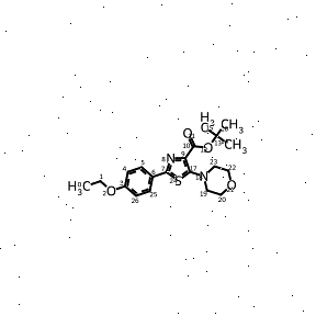 CCOc1ccc(-c2nc(C(=O)OC(C)(C)C)c(N3CCOCC3)s2)cc1